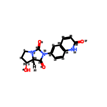 O=C1[C@@H]2[C@H](O)CCN2C(=O)N1c1ccc2[nH]c(=O)ccc2c1